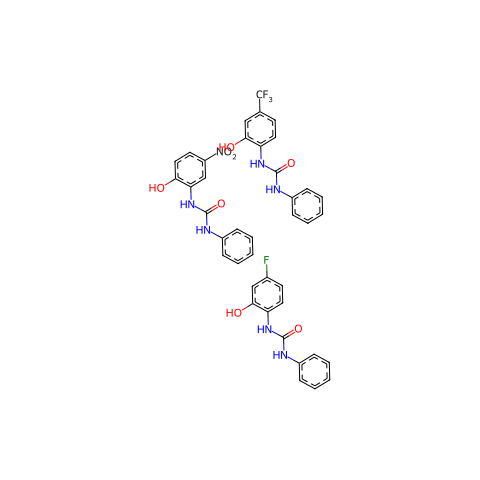 O=C(Nc1ccccc1)Nc1cc([N+](=O)[O-])ccc1O.O=C(Nc1ccccc1)Nc1ccc(C(F)(F)F)cc1O.O=C(Nc1ccccc1)Nc1ccc(F)cc1O